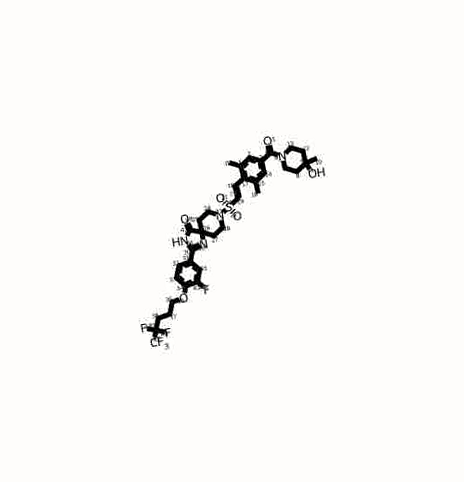 Cc1cc(C(=O)N2CCC(C)(O)CC2)cc(C)c1/C=C/S(=O)(=O)N1CCC2(CC1)N=C(c1ccc(OCCCC(F)(F)C(F)(F)F)c(F)c1)NC2=O